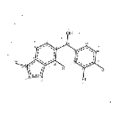 CCc1nc(C(O)c2ccc3c(nnn3C)c2C)ccc1C